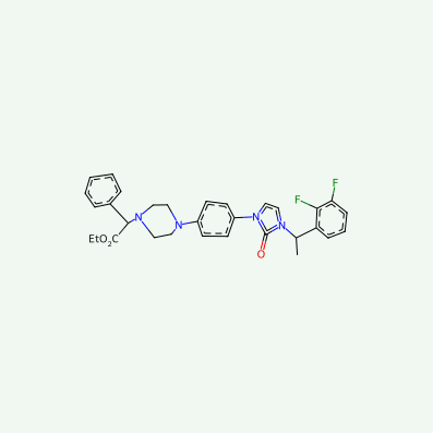 CCOC(=O)C(c1ccccc1)N1CCN(c2ccc(-n3ccn(C(C)c4cccc(F)c4F)c3=O)cc2)CC1